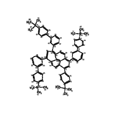 CC(C)(C)c1ccc(-c2cc(-c3cccc(-c4ccc([Si](C)(C)C)cc4)c3)c3ccc4c(-c5cccc(-c6ccc([Si](C)(C)C)cc6)c5)cc(-c5cccc(-c6ccc([Si](C)(C)C)cc6)c5)c5ccc2c3c54)cc1